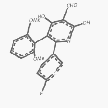 COc1cccc(OC)c1-c1c(-c2ccc(F)cc2)nc(O)c(C=O)c1O